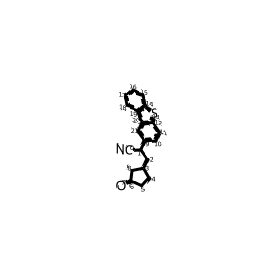 N#CC(CC1CCC(=O)C1)c1ccc2sc3ccccc3c2c1